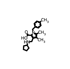 Cc1ccc(Cn2c(C)c(C)c(CNC3CCCC3)c2C(=O)O)cc1